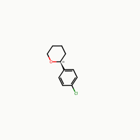 Clc1ccc([C@@H]2CCCCO2)cc1